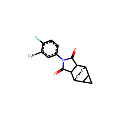 O=C1C2C3CCC(C4CC43)C2C(=O)N1c1ccc(F)c([N+](=O)[O-])c1